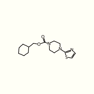 O=C(OCC1CCCCC1)N1CCN(c2nccs2)CC1